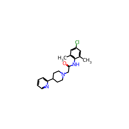 Cc1cc(Cl)cc(C)c1NC(=O)CN1CCC(c2ccccn2)CC1